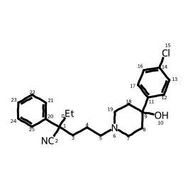 CCC(C#N)(CCCN1CCC(O)(c2ccc(Cl)cc2)CC1)c1ccccc1